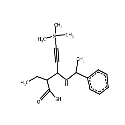 CCC(C(=O)S)C(C#C[Si](C)(C)C)NC(C)c1ccccc1